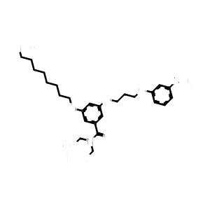 CCCCCCCCCCCCCCCCCCOc1cc(OCCCOc2cccc([N+](=O)[O-])c2)cc(C(=O)N(CC(=O)O)CC(=O)O)c1